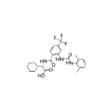 Cc1cccc(C)c1NC(=O)Nc1cc(C(F)(F)F)ccc1C(=O)N[C@H](C(=O)O)C1CCCCC1